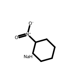 O=[N+]([O-])C1CCCCC1.[NaH]